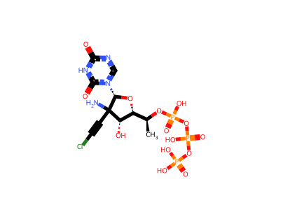 C[C@H](OP(=O)(O)OP(=O)(O)OP(=O)(O)O)[C@H]1O[C@@H](n2cnc(=O)[nH]c2=O)C(N)(C#CCl)[C@H]1O